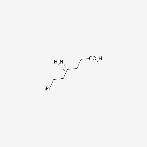 CC(C)CC[C@H](N)CCC(=O)O